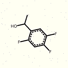 [CH2]C(O)c1cc(F)c(F)cc1F